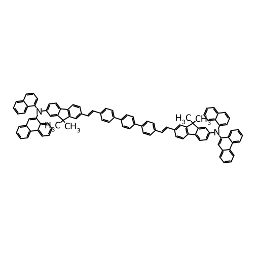 CC1(C)c2cc(/C=C/c3ccc(-c4ccc(-c5ccc(/C=C/c6ccc7c(c6)C(C)(C)c6cc(N(c8cccc9ccccc89)c8cc9ccccc9c9ccccc89)ccc6-7)cc5)cc4)cc3)ccc2-c2ccc(N(c3cccc4ccccc34)c3cc4ccccc4c4ccccc34)cc21